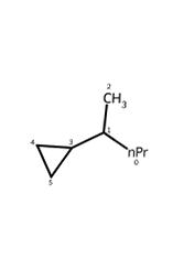 CCCC(C)C1CC1